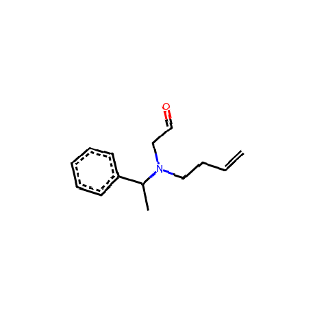 C=CCCN(CC=O)C(C)c1ccccc1